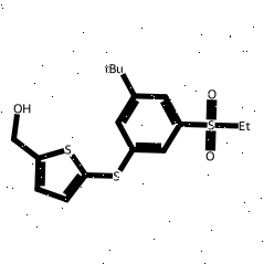 CCS(=O)(=O)c1cc(Sc2ccc(CO)s2)cc(C(C)(C)C)c1